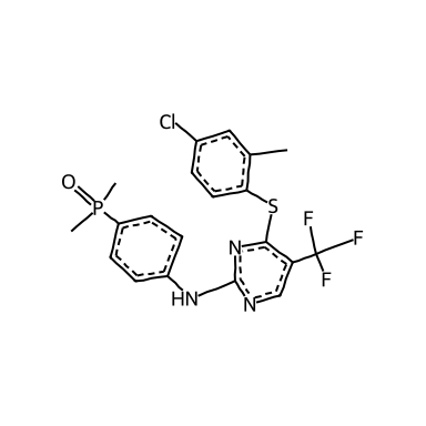 Cc1cc(Cl)ccc1Sc1nc(Nc2ccc(P(C)(C)=O)cc2)ncc1C(F)(F)F